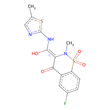 Cc1cnc(N/C(O)=C2/C(=O)c3cc(F)ccc3S(=O)(=O)N2C)s1